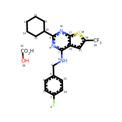 Fc1ccc(CNc2nc(C3CCCCC3)nc3sc(C(F)(F)F)cc23)cc1.O=C(O)O